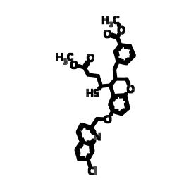 COC(=O)CCC(S)C1c2cc(OCc3ccc4ccc(Cl)cc4n3)ccc2OCC1Cc1cccc(C(=O)OC)c1